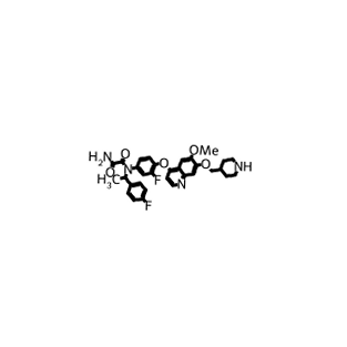 COc1cc2c(Oc3ccc(N(C(=O)C(N)=O)C(C)c4ccc(F)cc4)cc3F)ccnc2cc1OCC1CCNCC1